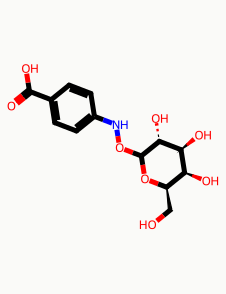 O=C(O)c1ccc(NOC2O[C@H](CO)[C@H](O)[C@H](O)[C@H]2O)cc1